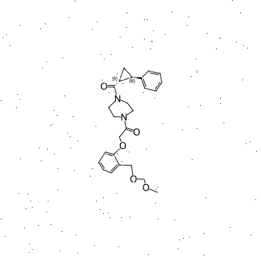 COCOCc1ccccc1OCC(=O)N1CCN(C(=O)[C@@H]2C[C@H]2c2ccccc2)CC1